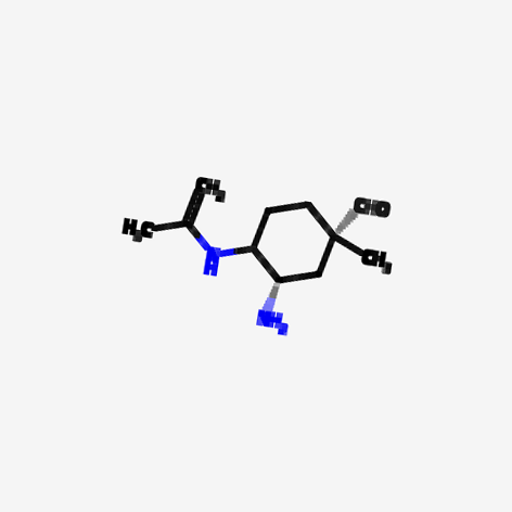 C=C(C)NC1CC[C@](C)(C=O)C[C@@H]1N